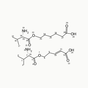 CC(C)[C@H](N)C(=O)OCCC=CC(=O)O.CC(C)[C@H](N)C(=O)OCCCCCC(=O)O